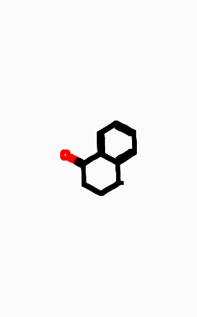 O=C1CC[CH]c2ccccc21